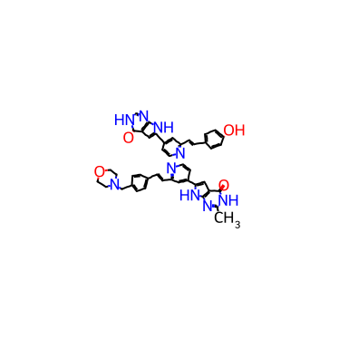 Cc1nc2[nH]c(-c3ccnc(C=Cc4ccc(CN5CCOCC5)cc4)c3)cc2c(=O)[nH]1.O=c1[nH]cnc2[nH]c(-c3ccnc(C=Cc4ccc(O)cc4)c3)cc12